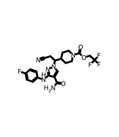 N#CCC(C1CCN(C(=O)OCC(F)(F)F)CC1)n1cc(C(N)=O)c(Nc2ccc(F)cc2)n1